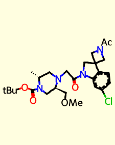 COC[C@H]1CN(C(=O)OC(C)(C)C)[C@H](C)CN1CC(=O)N1CC2(CN(C(C)=O)C2)c2ccc(Cl)cc21